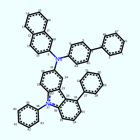 c1ccc(-c2ccc(N(c3ccc4ccccc4c3)c3ccc4c(c3)c3c(-c5ccccc5)cccc3n4-c3ccccc3)cc2)cc1